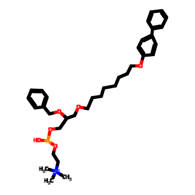 C[N+](C)(C)CCOP(O)OCC(COCCCCCCCCOc1ccc(-c2ccccc2)cc1)OCc1ccccc1